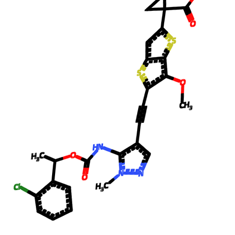 COc1c(C#Cc2cnn(C)c2NC(=O)OC(C)c2ccccc2Cl)sc2cc(C3(C(=O)O)CC3)sc12